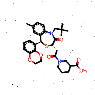 Cc1ccc2c(c1)[C@H](c1cccc3c1OCCO3)S[C@@H](CC(=O)N1CCCC(C(=O)O)C1)C(=O)N2CC(C)(C)C